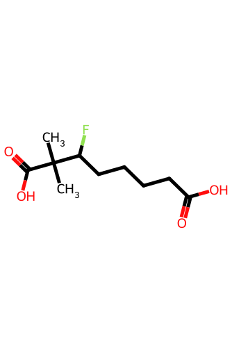 CC(C)(C(=O)O)C(F)CCCCC(=O)O